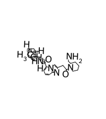 CC1(C)[C@@H]2CC[C@@H](CNC(=O)c3cccc4nc(CC(=O)N5CCCCC5CN)cn34)[C@H]1C2